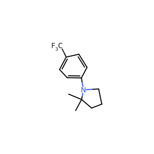 CC1(C)CCCN1c1ccc(C(F)(F)F)cc1